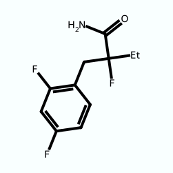 CCC(F)(Cc1ccc(F)cc1F)C(N)=O